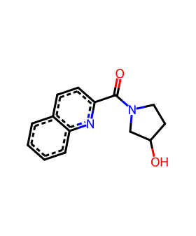 O=C(c1ccc2ccccc2n1)N1CCC(O)C1